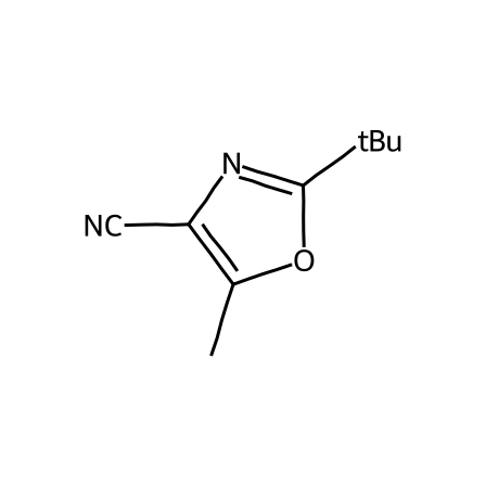 Cc1oc(C(C)(C)C)nc1C#N